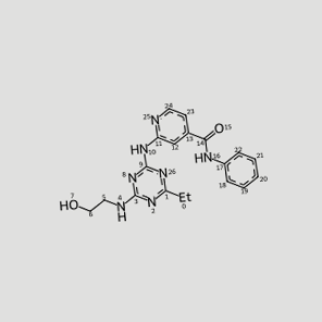 CCc1nc(NCCO)nc(Nc2cc(C(=O)Nc3ccccc3)ccn2)n1